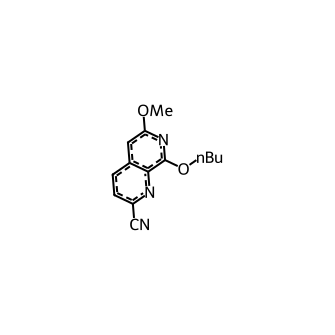 CCCCOc1nc(OC)cc2ccc(C#N)nc12